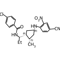 CCC(NC(=O)c1ccc(Cl)cc1)[C@@H]1C[C@H](Nc2ccc(C#N)cc2[N+](=O)[O-])C[C@@H]1C